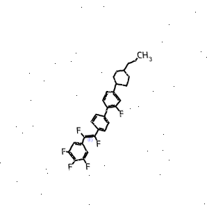 CCCC1CCC(c2ccc(-c3ccc(/C(F)=C(\F)c4cc(F)c(F)c(F)c4)cc3)c(F)c2)CC1